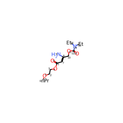 CCCOCCOC(=O)C=C(N)COC(=O)N(CC)CC